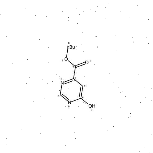 CCCCOC(=O)c1cc(O)ncn1